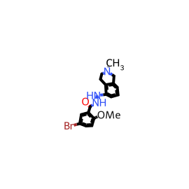 COc1ccc(Br)cc1C(=O)NNc1cccc2c1CCN(C)C2